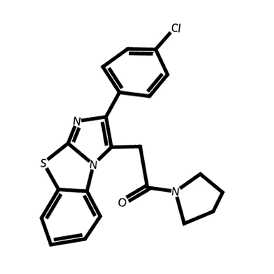 O=C(Cc1c(-c2ccc(Cl)cc2)nc2sc3ccccc3n12)N1CCCC1